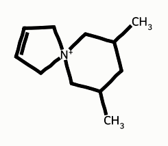 CC1CC(C)C[N+]2(CC=CC2)C1